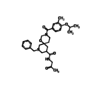 CC(=O)CNC(=O)C1CN(Cc2ccccc2)CC2(CCN(C(=O)c3ccc(OC(C)C)c(C)c3)CO2)C1